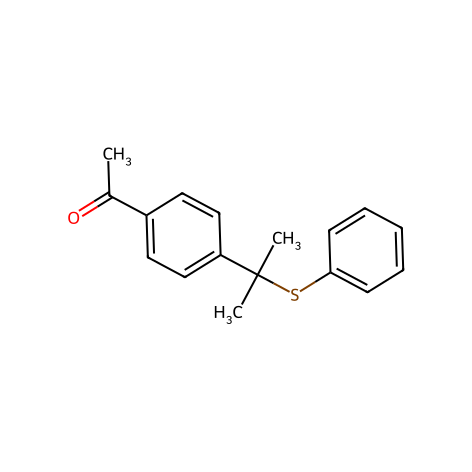 CC(=O)c1ccc(C(C)(C)Sc2ccccc2)cc1